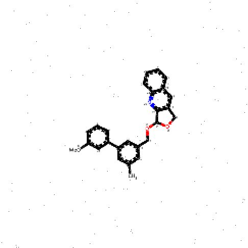 COc1cccc(-c2cc(C)cc(COC3OCc4cc5ccccc5nc43)c2)c1